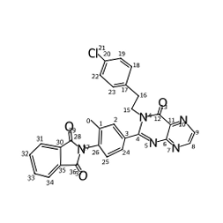 Cc1cc(-c2nc3nccnc3c(=O)n2CCc2ccc(Cl)cc2)ccc1N1C(=O)c2ccccc2C1=O